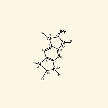 CC(C)C1N(C)c2cc3c(cc2N1C)N(C)C(C)N3C